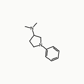 CN(C)C1CCN(c2ccccc2)C1